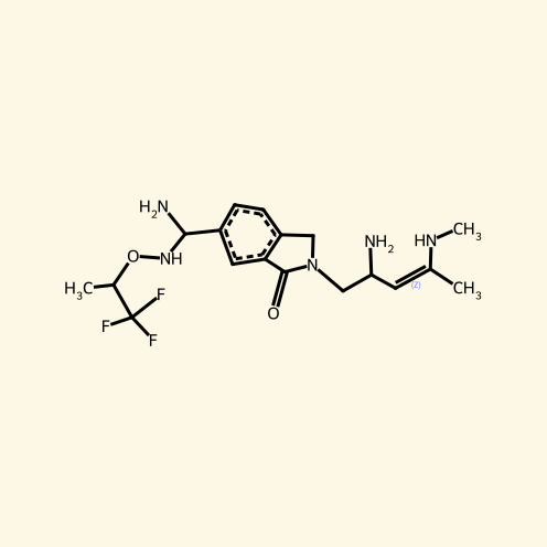 CN/C(C)=C\C(N)CN1Cc2ccc(C(N)NOC(C)C(F)(F)F)cc2C1=O